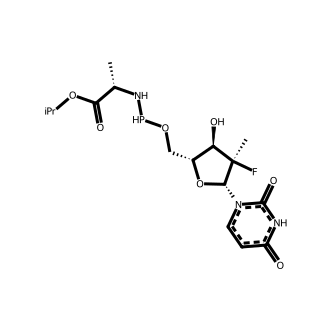 CC(C)OC(=O)[C@H](C)NPOC[C@H]1O[C@@H](n2ccc(=O)[nH]c2=O)[C@](C)(F)[C@@H]1O